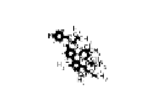 CCOC(=O)[C@@H](OC(C)(C)C)c1c(C)nc(C)c(-c2ccc(CN(Cc3ccc(F)cc3)C(=O)C(C)C)cc2)c1N1CCC(C)(C)CC1